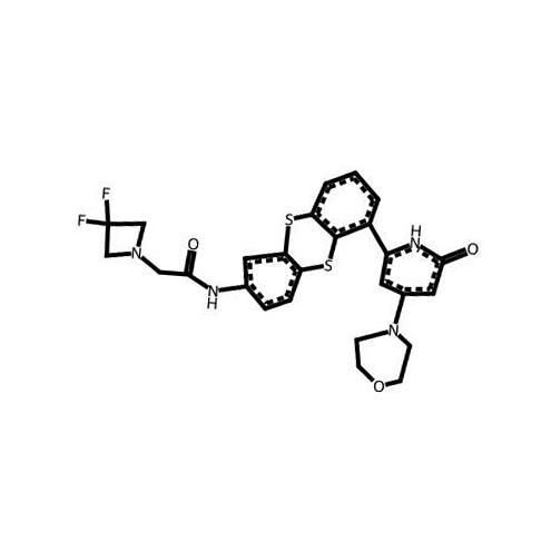 O=C(CN1CC(F)(F)C1)Nc1ccc2c(c1)Sc1cccc(-c3cc(N4CCOCC4)cc(=O)[nH]3)c1S2